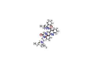 CCN(CC)CCN1CCN(Cc2c(-c3ccccc3)nc3ccccc3c2C(=O)N[C@@H](C)C2CCCCC2)CC1=O